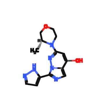 C[C@@H]1COCCN1c1cc(O)c2cnc(-c3ccn[nH]3)n2n1